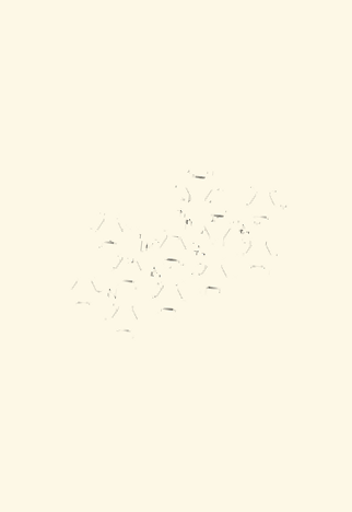 c1ccc(N(c2ccccc2)c2cc3c4c(c2)N(c2ccccc2)c2cc5c(cc2B4Sc2ccccc2-3)B2Sc3ccccc3-c3cc(N(c4ccccc4)c4ccccc4)cc(c32)N5c2ccccc2)cc1